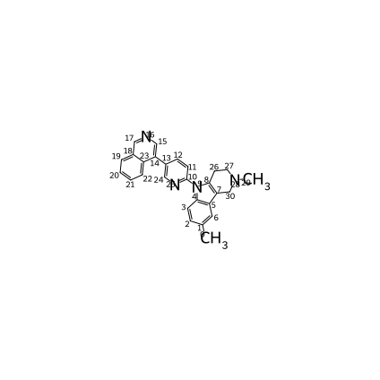 Cc1ccc2c(c1)c1c(n2-c2ccc(-c3cncc4ccccc34)cn2)CCN(C)C1